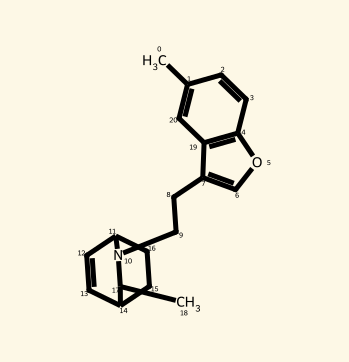 Cc1ccc2occ(CCN3C4C=CC(CC4)C3C)c2c1